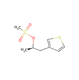 C[C@H](Cc1ccsc1)OS(C)(=O)=O